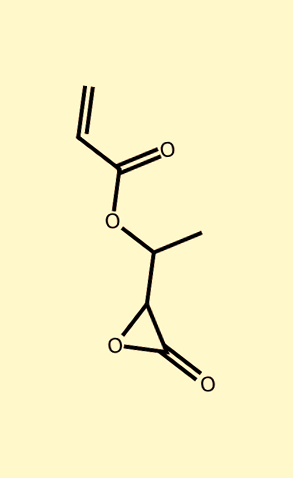 C=CC(=O)OC(C)C1OC1=O